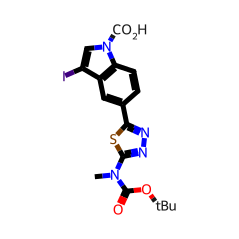 CN(C(=O)OC(C)(C)C)c1nnc(-c2ccc3c(c2)c(I)cn3C(=O)O)s1